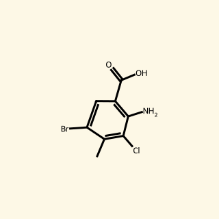 Cc1c(Br)cc(C(=O)O)c(N)c1Cl